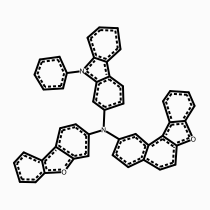 c1ccc(-n2c3ccccc3c3ccc(N(c4ccc5c(c4)oc4ccccc45)c4ccc5ccc6oc7ccccc7c6c5c4)cc32)cc1